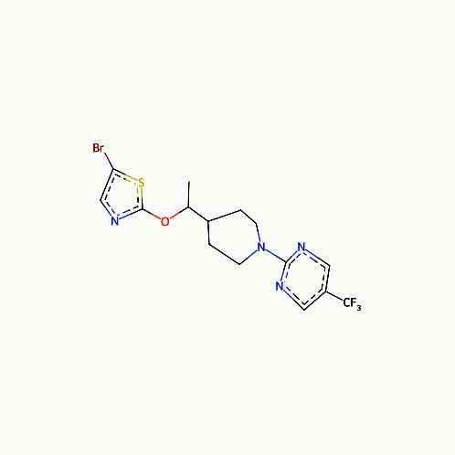 CC(Oc1ncc(Br)s1)C1CCN(c2ncc(C(F)(F)F)cn2)CC1